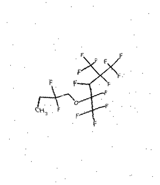 CCC(F)(F)COC(F)(C(F)C(F)(C(F)(F)F)C(F)(F)F)C(F)(F)F